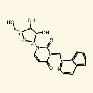 O=c1ccn([C@@H]2O[C@H](CO)C(O)C2O)c(=O)n1Cc1nccc2ccccc12